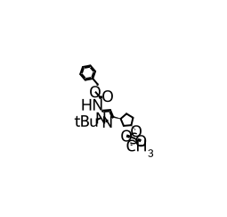 CC(C)(C)n1nc([C@H]2CC[C@H](OS(C)(=O)=O)C2)cc1NC(=O)OCc1ccccc1